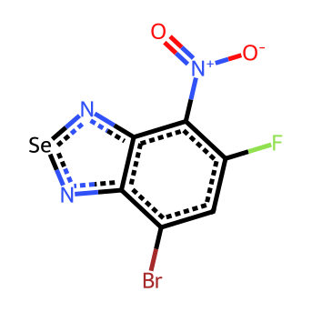 O=[N+]([O-])c1c(F)cc(Br)c2n[se]nc12